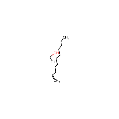 C=CCCCCCCCCC.CCO